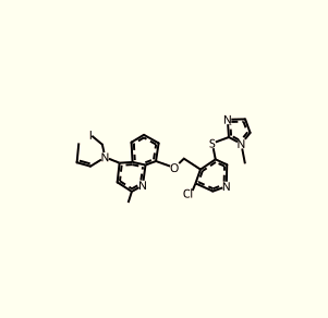 C/C=C\N(CI)c1cc(C)nc2c(OCc3c(Cl)cncc3Sc3nccn3C)cccc12